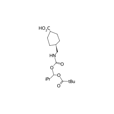 CC(C)C(OC(=O)NC[C@H]1CC[C@H](C(=O)O)CC1)OC(=O)C(C)(C)C